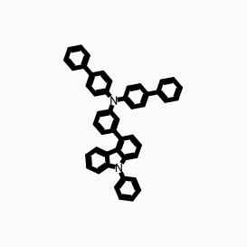 c1ccc(-c2ccc(N(c3ccc(-c4ccccc4)cc3)c3cccc(-c4cccc5c4c4ccccc4n5-c4ccccc4)c3)cc2)cc1